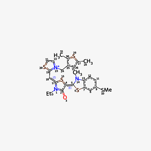 CCn1c(=O)/c(=C2\Sc3cc(SC)ccc3N2C)s/c1=C\c1scc[n+]1Cc1cc(C)sc1C